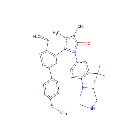 C=Nc1ccc(-c2ccc(OC)nc2)cc1-c1c(C)n(C)c(=O)n1-c1ccc(N2CCNCC2)c(C(F)(F)F)c1